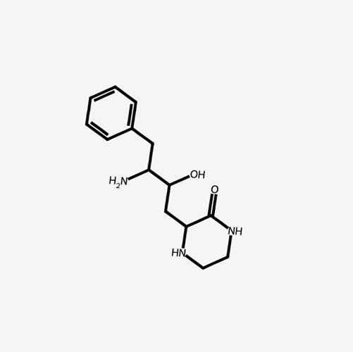 NC(Cc1ccccc1)C(O)CC1NCCNC1=O